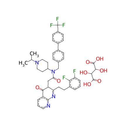 CC(C)N1CCC(N(Cc2ccc(-c3ccc(C(F)(F)F)cc3)cc2)C(=O)CC2C(=O)c3cccnc3N=C2CCc2cccc(F)c2F)CC1.O=C(O)C(O)C(O)C(=O)O